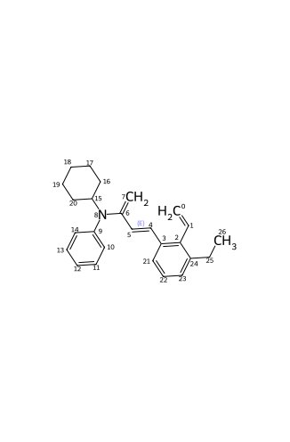 C=Cc1c(/C=C/C(=C)N(c2ccccc2)C2CCCCC2)cccc1CC